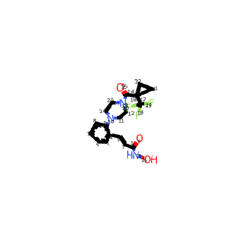 O=C(C=Cc1ccccc1N1CCN(C(=O)C2(C(F)(F)F)CC2)CC1)NO